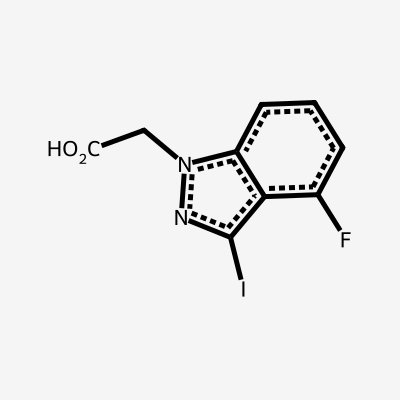 O=C(O)Cn1nc(I)c2c(F)cccc21